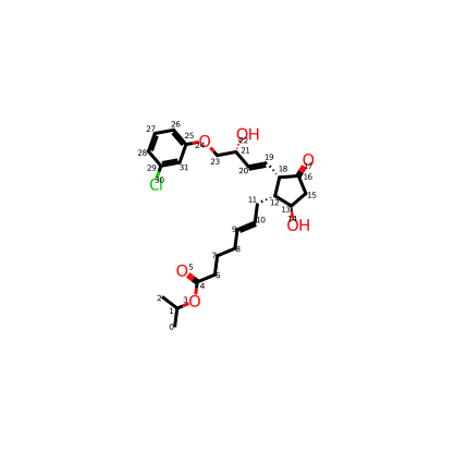 CC(C)OC(=O)CCCC=CC[C@H]1[C@H](O)CC(=O)[C@H]1C=C[C@@H](O)COc1cccc(Cl)c1